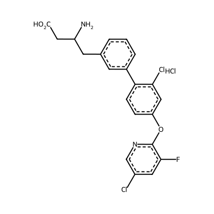 Cl.NC(CC(=O)O)Cc1cccc(-c2ccc(Oc3ncc(Cl)cc3F)cc2Cl)c1